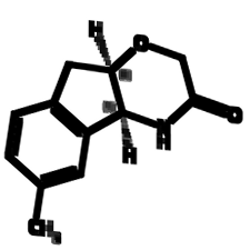 Cc1ccc2c(c1)[C@@H]1NC(=O)CO[C@@H]1C2